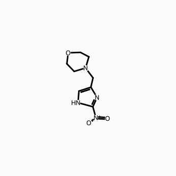 O=[N+]([O-])c1nc(CN2CCOCC2)c[nH]1